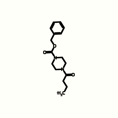 [CH2]CCC(=O)N1CCN(C(=O)OCc2ccccc2)CC1